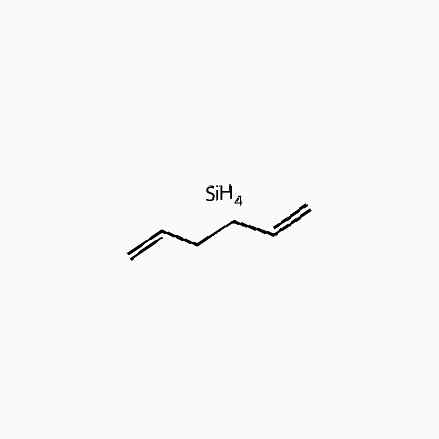 C=CCCC=C.[SiH4]